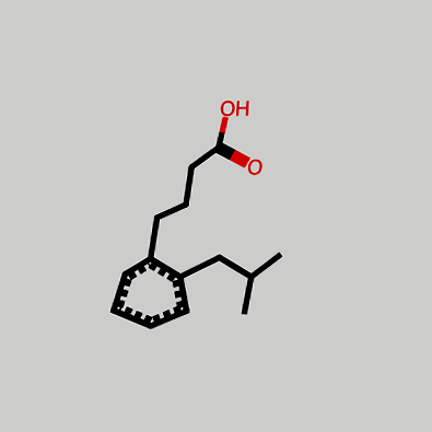 CC(C)Cc1ccccc1CCCC(=O)O